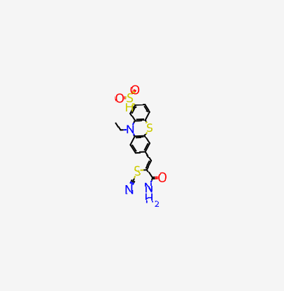 CCN1c2ccc(/C=C(\SC#N)C(N)=O)cc2Sc2ccc([SH](=O)=O)cc21